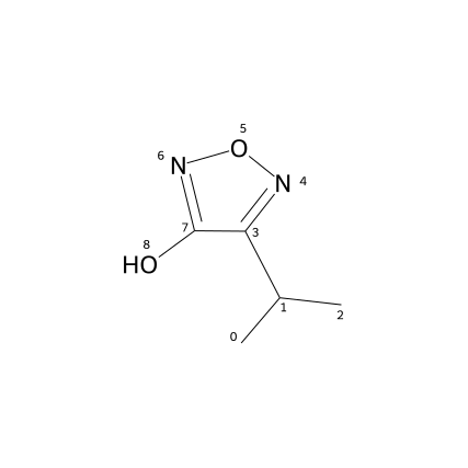 CC(C)c1nonc1O